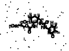 CCCCCCCCCCC(CCCCCCCC)COC(=O)NC1CC(C)(C)CC(C)(CNC(=O)Nc2nc(=O)c(C)c(C)[nH]2)C1